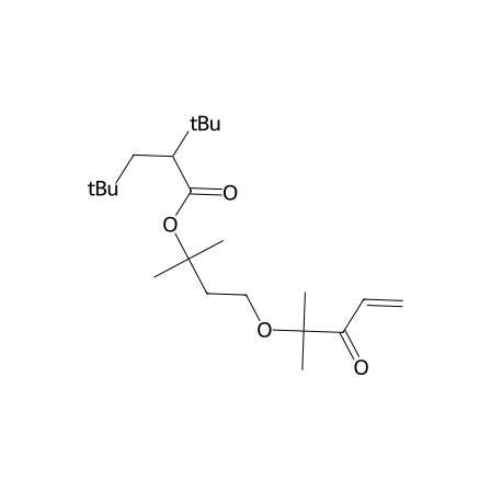 C=CC(=O)C(C)(C)OCCC(C)(C)OC(=O)C(CC(C)(C)C)C(C)(C)C